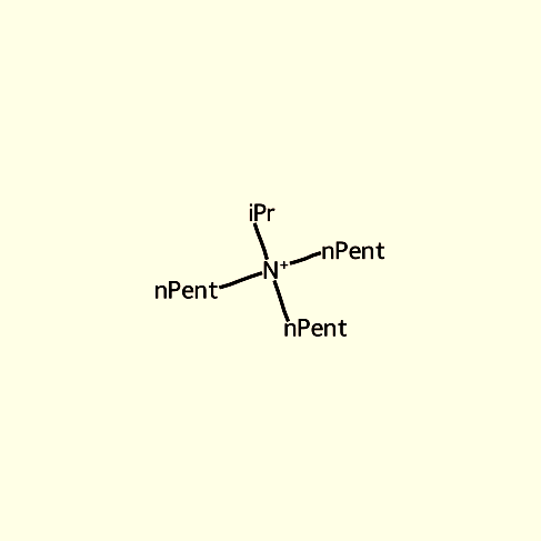 CCCCC[N+](CCCCC)(CCCCC)C(C)C